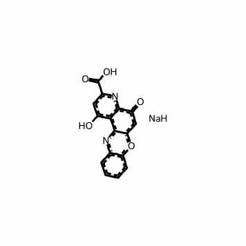 O=C(O)c1cc(O)c2c3nc4ccccc4oc-3cc(=O)c2n1.[NaH]